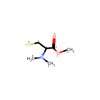 COC(=O)C(CS)N(C)C